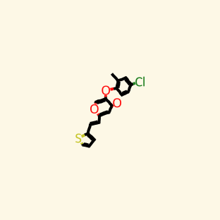 Cc1cc(Cl)ccc1Oc1coc(/C=C/c2cccs2)cc1=O